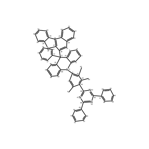 Cc1cc(N2c3ccccc3C(c3ccccc3)(c3cc4ccccc4c4c3oc3ccccc34)c3ccccc32)c(C)c(C)c1-c1nc(-c2ccccc2)nc(-c2ccccc2)n1